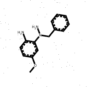 COc1ccc(N)c(N(N)Cc2ccccc2)c1